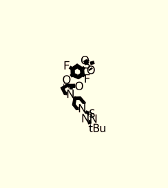 CC(C)(C)c1nsc(N2CCC(N3CC[C@H](Oc4cc(F)c(S(C)(=O)=O)cc4F)C3=O)CC2)n1